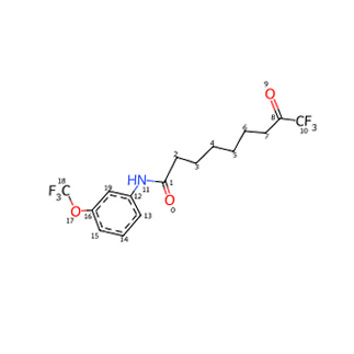 O=C(CCCCCCC(=O)C(F)(F)F)Nc1cccc(OC(F)(F)F)c1